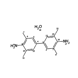 Cc1cc(-c2cc(C)c(N)c(C)c2)cc(C)c1N.O